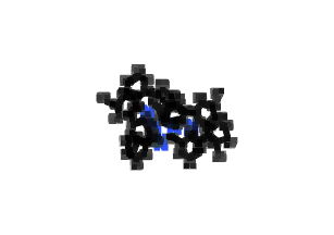 CC1=Cc2c(n(-c3c(-c4nc(-c5ccccc5)nc(C5CC=CC(C6=C(C)CCC=C6)=C5n5c6ccc(C)cc6c6cc(C)ccc65)n4)cccc3-c3ccccc3C)c3ccc(C)cc23)CC1